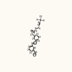 CN(CC=CC#CC(C)(C)C)Cc1cccc(OCc2cccc(C=O)c2)c1